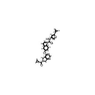 O=C(C1CC1)N1Cc2ncnc(Oc3ccc4c(ccn4C(=O)Nc4cc(C5=CC5)on4)c3)c2C1